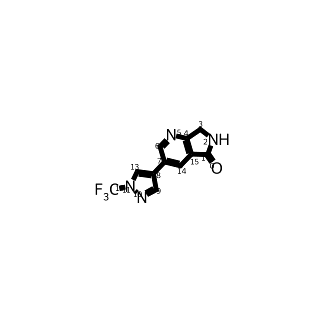 O=C1NCc2ncc(-c3cnn(C(F)(F)F)c3)cc21